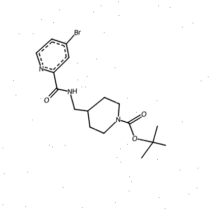 CC(C)(C)OC(=O)N1CCC(CNC(=O)c2cc(Br)ccn2)CC1